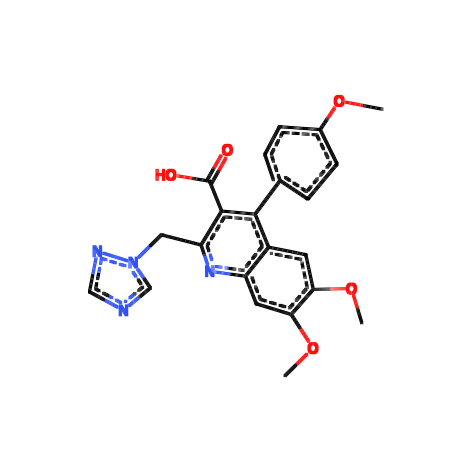 COc1ccc(-c2c(C(=O)O)c(Cn3cncn3)nc3cc(OC)c(OC)cc23)cc1